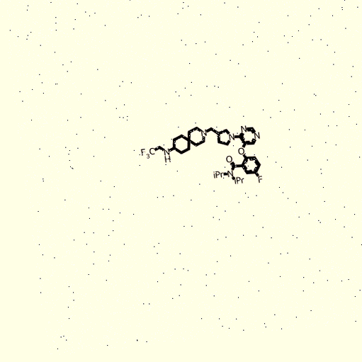 CC(C)N(C(=O)c1cc(F)ccc1Oc1cncnc1N1CCC(CN2CCC3(CCC(NCC(F)(F)F)CC3)CC2)C1)C(C)C